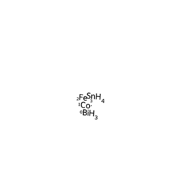 [BiH3].[Co].[Fe].[SnH4]